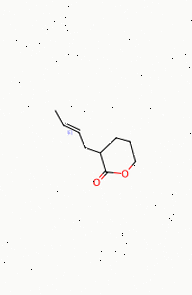 C/C=C/CC1CCCOC1=O